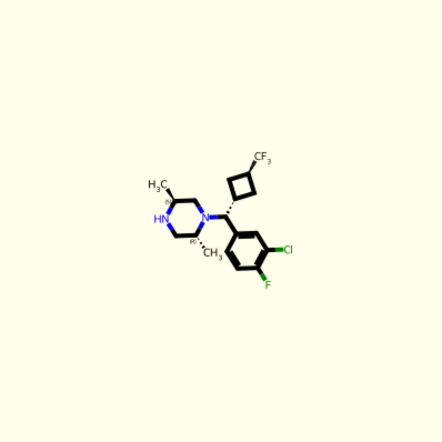 C[C@@H]1CN[C@@H](C)CN1C(c1ccc(F)c(Cl)c1)[C@H]1C[C@H](C(F)(F)F)C1